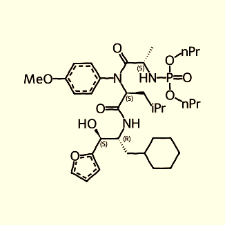 CCCOP(=O)(N[C@@H](C)C(=O)N(c1ccc(OC)cc1)[C@@H](CC(C)C)C(=O)N[C@H](CC1CCCCC1)[C@H](O)c1ccco1)OCCC